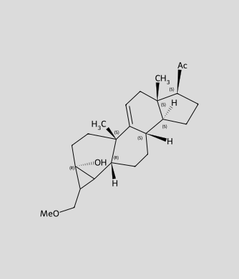 COCC1C2[C@H]3CC[C@@H]4C(=CC[C@]5(C)[C@@H](C(C)=O)CC[C@@H]45)[C@@]3(C)CC[C@]12O